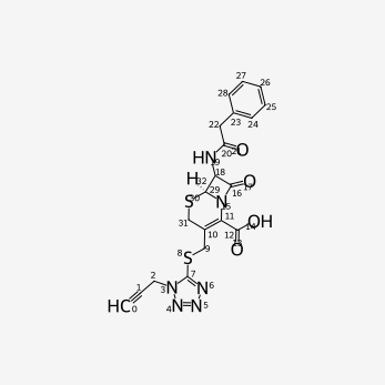 C#CCn1nnnc1SCC1=C(C(=O)O)N2C(=O)C(NC(=O)Cc3ccccc3)[C@@H]2SC1